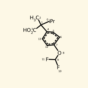 CC(C)C(C)(C(=O)O)c1ccc(OC(F)F)cc1